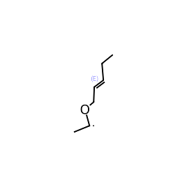 C[CH]OC/C=C/CC